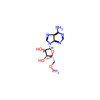 Nc1ncnc2c1ncn2[C@@H]1O[C@H](COP)[C@@H](O)[C@H]1O